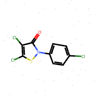 O=c1c(Cl)c(Cl)sn1-c1ccc(Cl)cc1